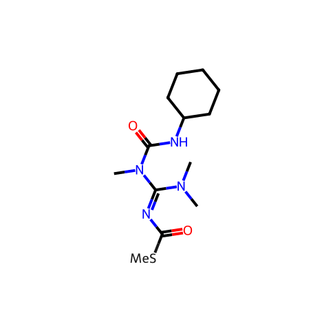 CSC(=O)N=C(N(C)C)N(C)C(=O)NC1CCCCC1